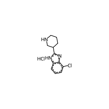 Cl.Clc1cccc2[nH]c(C3CCCNC3)nc12